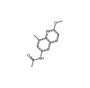 COc1ccc2cc(NC(C)=O)cc(C)c2n1